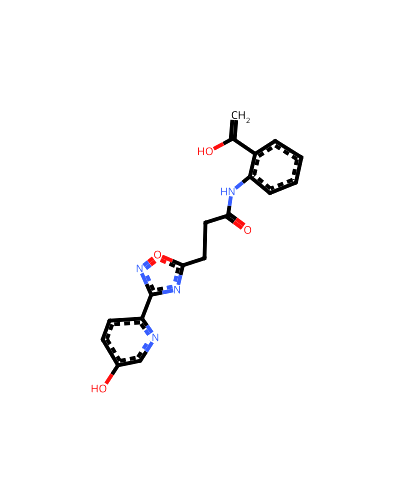 C=C(O)c1ccccc1NC(=O)CCc1nc(-c2ccc(O)cn2)no1